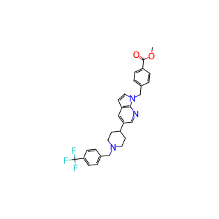 COC(=O)c1ccc(Cn2ccc3cc(C4CCN(Cc5ccc(C(F)(F)F)cc5)CC4)cnc32)cc1